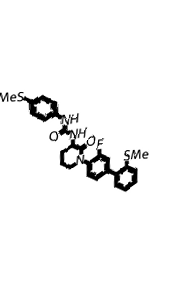 CSc1ccc(NC(=O)NC2CCCN(c3ccc(-c4ccccc4SC)cc3F)C2=O)cc1